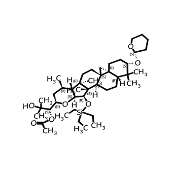 CC[Si](CC)(CC)O[C@H]1[C@H]2O[C@@H]([C@H](OC(C)=O)C(C)(C)O)C[C@@H](C)[C@@H]2[C@@]2(C)CC[C@@]34C[C@@]35CC[C@H](O[C@H]3CCCCO3)C(C)(C)[C@@H]5CC[C@H]4[C@]12C